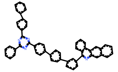 c1ccc(-c2ccc(-c3nc(-c4ccccc4)nc(-c4ccc(-c5ccc(-c6cccc(-c7nc8cc9ccccc9cc8c8ccccc78)c6)cc5)cc4)n3)cc2)cc1